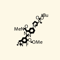 CNC(=O)c1nc(-c2cc3cn(C)nc3c(F)c2OCOC)nc2ccc(N3CC[C@@H](N(C)C(=O)OC(C)(C)C)C3)cc12